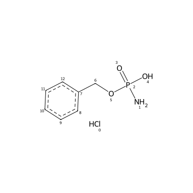 Cl.NP(=O)(O)OCc1ccccc1